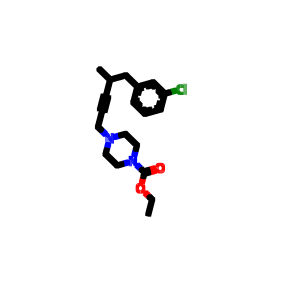 CCOC(=O)N1CCN(CC#CC(C)Cc2cccc(Cl)c2)CC1